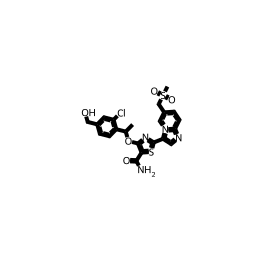 CC(Oc1nc(-c2cnc3ccc(CS(C)(=O)=O)cn23)sc1C(N)=O)c1ccc(CO)cc1Cl